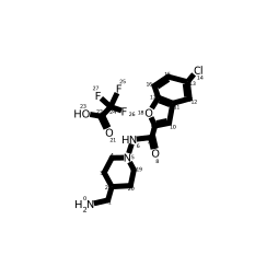 NCC1CCN(NC(=O)c2cc3cc(Cl)ccc3o2)CC1.O=C(O)C(F)(F)F